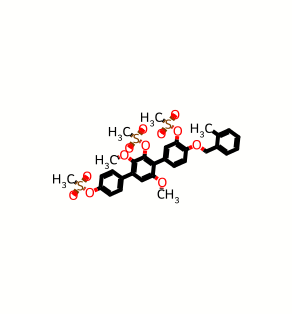 COc1cc(-c2ccc(OS(C)(=O)=O)cc2)c(OC)c(OS(C)(=O)=O)c1-c1ccc(OCc2ccccc2C)c(OS(C)(=O)=O)c1